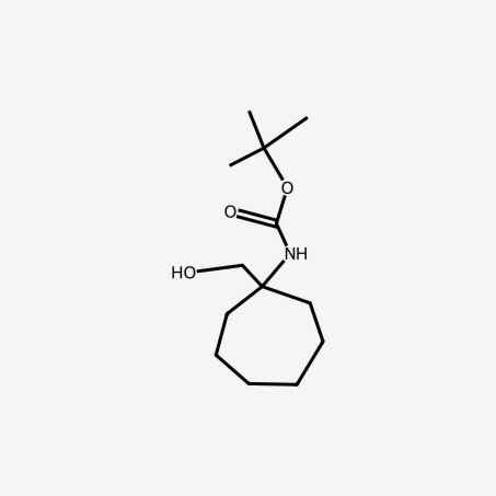 CC(C)(C)OC(=O)NC1(CO)CCCCCC1